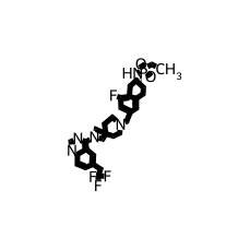 CCS(=O)(=O)N[C@@H]1CCc2cc(CN3CCC4(CC3)CN(c3ncnc5ccc(CC(F)(F)F)cc35)C4)cc(F)c2C1